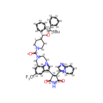 CC(C)(C)[Si](OCC1CCN(C(=O)N2CCn3cc(C4=C(c5cnc6ccccn56)C(=O)NC4=O)c4cc(C(F)(F)F)cc(c43)C2)CC1)(c1ccccc1)c1ccccc1